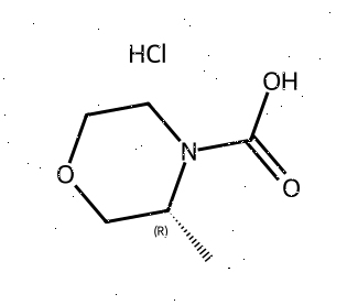 C[C@@H]1COCCN1C(=O)O.Cl